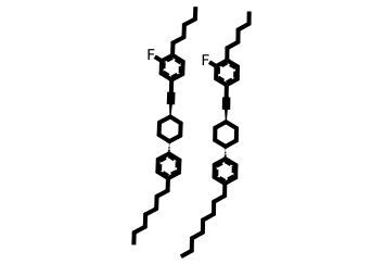 CCCCCCCCc1ccc([C@H]2CC[C@H](C#Cc3ccc(CCCCC)c(F)c3)CC2)cc1.CCCCCCCc1ccc([C@H]2CC[C@H](C#Cc3ccc(CCCCC)c(F)c3)CC2)cc1